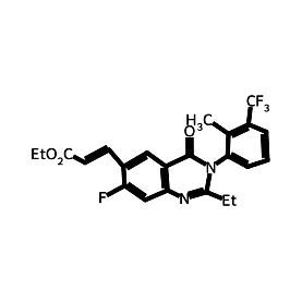 CCOC(=O)/C=C/c1cc2c(=O)n(-c3cccc(C(F)(F)F)c3C)c(CC)nc2cc1F